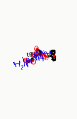 CC(C)(C)OC(=O)CC(NC(=O)OCC1c2ccccc2-c2ccccc21)C(=O)NCC(=O)NCC(=O)NCC(N)=O